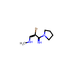 CN/C=C(/Br)C(=N)N1CCCC1